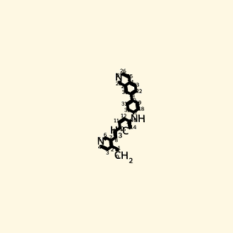 C=Cc1ccncc1/C=C/C/C=C\C(=C/C)N[C@H]1C=CC(c2ccc3ccncc3c2)=CC1